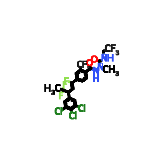 CN(NC(=O)c1ccc(/C(F)=C/C(c2cc(Cl)c(Cl)c(Cl)c2)C(C)(F)F)cc1C(F)(F)F)C(=O)NCC(F)(F)F